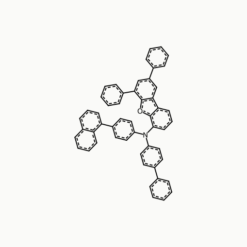 c1ccc(-c2ccc(N(c3ccc(-c4cccc5ccccc45)cc3)c3cccc4c3oc3c(-c5ccccc5)cc(-c5ccccc5)cc34)cc2)cc1